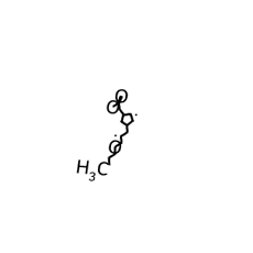 CCCCOC[CH]CC1C[CH]C(C2OC2=O)C1